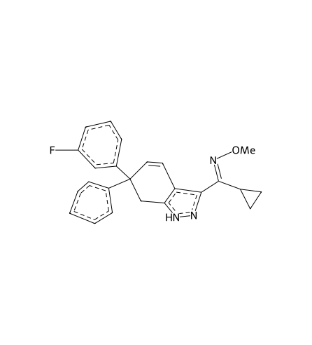 CON=C(c1n[nH]c2c1C=CC(c1ccccc1)(c1cccc(F)c1)C2)C1CC1